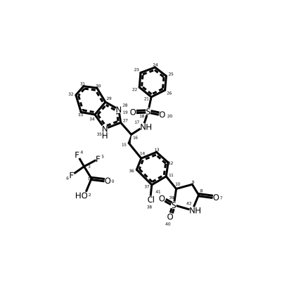 O=C(O)C(F)(F)F.O=C1CC(c2ccc(C[C@H](NS(=O)(=O)c3ccccc3)c3nc4ccccc4[nH]3)cc2Cl)S(=O)(=O)N1